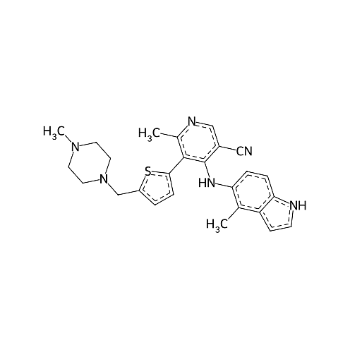 Cc1ncc(C#N)c(Nc2ccc3[nH]ccc3c2C)c1-c1ccc(CN2CCN(C)CC2)s1